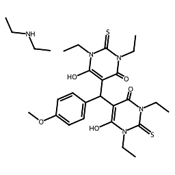 CCNCC.CCn1c(O)c(C(c2ccc(OC)cc2)c2c(O)n(CC)c(=S)n(CC)c2=O)c(=O)n(CC)c1=S